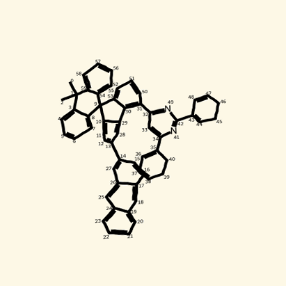 CC1(C)c2ccccc2C2(c3ccc(-c4ccc5cc6ccccc6cc5c4)cc3-c3c(-c4cc(C5=CC=CCC5)nc(C5=CCCC=C5)n4)cccc32)c2ccccc21